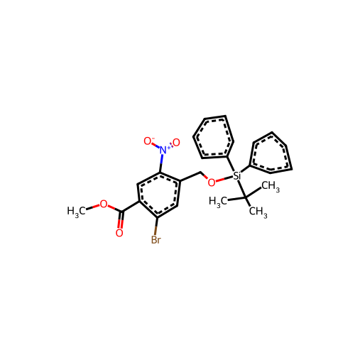 COC(=O)c1cc([N+](=O)[O-])c(CO[Si](c2ccccc2)(c2ccccc2)C(C)(C)C)cc1Br